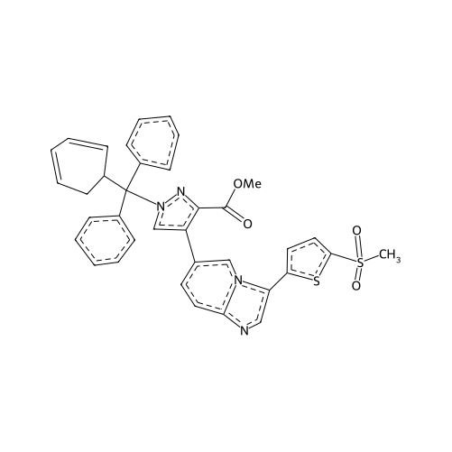 COC(=O)c1nn(C(c2ccccc2)(c2ccccc2)C2C=CC=CC2)cc1-c1ccc2ncc(-c3ccc(S(C)(=O)=O)s3)n2c1